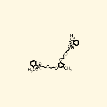 Cc1cc(OCCOCCOS(=O)(=O)c2ccccc2C)cc(OCCOCCOS(=O)(=O)c2ccccc2C)c1